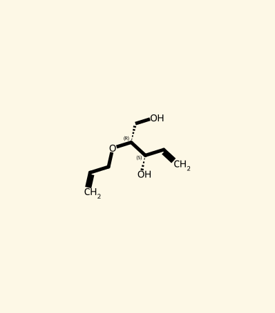 C=CCO[C@H](CO)[C@@H](O)C=C